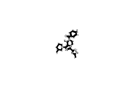 Cc1nsc(-c2nc(N3CCCC(C)C3)c3n2CCN(C(=O)c2ccc(F)cc2)[C@@H]3C)n1